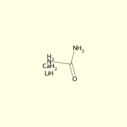 NC(N)=O.[CaH2].[LiH]